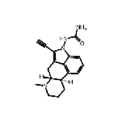 C#Cc1c2c3c(cccc3n1NC(N)=O)[C@H]1CCCN(C)[C@@H]1C2